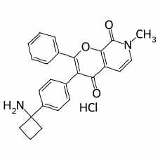 Cl.Cn1ccc2c(=O)c(-c3ccc(C4(N)CCC4)cc3)c(-c3ccccc3)oc2c1=O